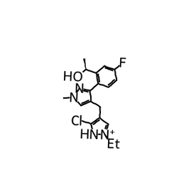 CC[n+]1cc(Cc2cn(C)nc2-c2ccc(F)cc2[C@H](C)O)c(Cl)[nH]1